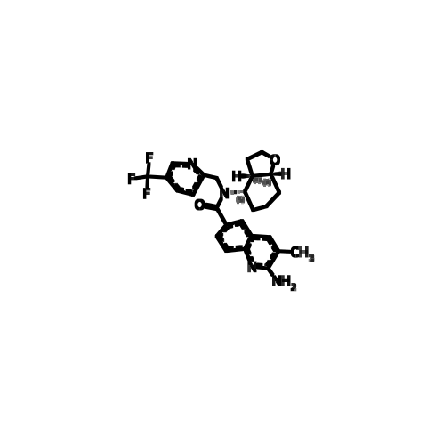 Cc1cc2cc(C(=O)N(Cc3ccc(C(F)(F)F)cn3)[C@H]3CCC[C@H]4OCC[C@H]43)ccc2nc1N